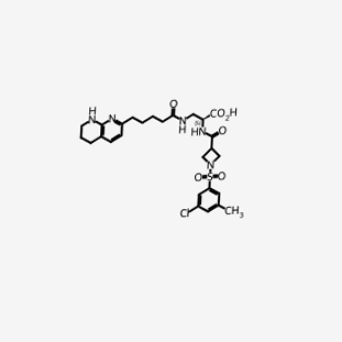 Cc1cc(Cl)cc(S(=O)(=O)N2CC(C(=O)N[C@@H](CNC(=O)CCCCc3ccc4c(n3)NCCC4)C(=O)O)C2)c1